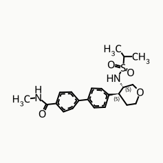 CNC(=O)c1ccc(-c2ccc([C@@H]3CCOC[C@H]3NS(=O)(=O)C(C)C)cc2)cc1